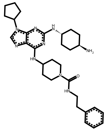 N[C@H]1CC[C@H](Nc2nc(NC3CCN(C(=O)NCCc4ccccc4)CC3)c3ncn(C4CCCC4)c3n2)CC1